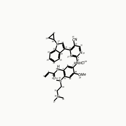 C=CC(=O)Nc1cc(Nc2ncc(C#N)c(-c3cn(C4CC4)c4ccccc34)n2)c(OC)cc1N(C)CCN(C)C.Cl